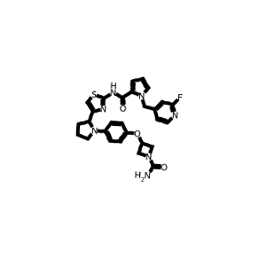 NC(=O)N1CC(Oc2ccc(N3CCCC3c3csc(NC(=O)c4cccn4Cc4ccnc(F)c4)n3)cc2)C1